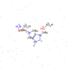 CCCCN(CCCC)CCCC.CCCCN1C=CN(C)C1.N.O=S(=O)(O)O.O=S(=O)(O)O